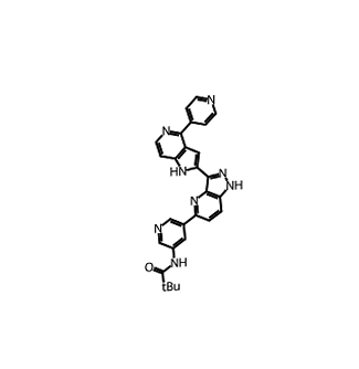 CC(C)(C)C(=O)Nc1cncc(-c2ccc3[nH]nc(-c4cc5c(-c6ccncc6)nccc5[nH]4)c3n2)c1